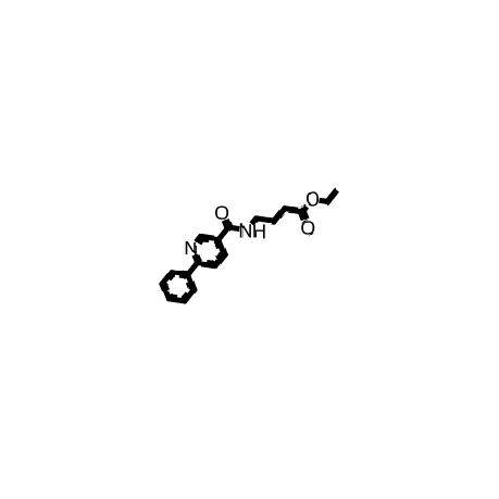 CCOC(=O)CCCNC(=O)c1ccc(-c2ccccc2)nc1